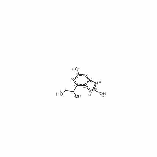 OCC(O)c1cc(O)cc2nc(O)sc12